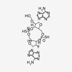 Nc1ncnc2c1ncn2[C@@H]1O[C@@H]2CO[P@@](=O)(S)O[C@@H]3C(CO[P@@](=O)(S)O[C@H]2[C@H]1F)O[C@@H](n1cnc2c(N)ncnc21)[C@@H]3OCO